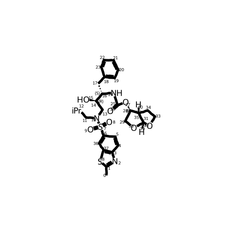 Cc1nc2ccc(S(=O)(=O)N(CC(C)C)C[C@@H](O)[C@H](Cc3ccccc3)NC(=O)O[C@H]3CO[C@H]4OCC[C@H]43)cc2s1